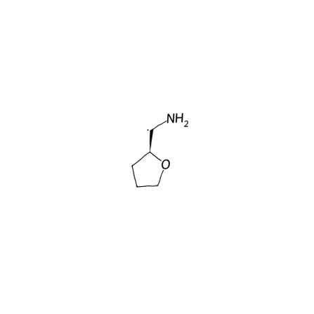 N[CH][C@@H]1CCCO1